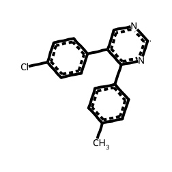 Cc1ccc(-c2n[c]ncc2-c2ccc(Cl)cc2)cc1